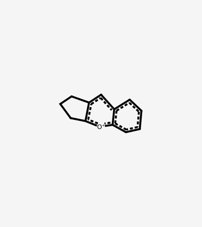 c1ccc2[o+]c3c(cc2c1)CCC3